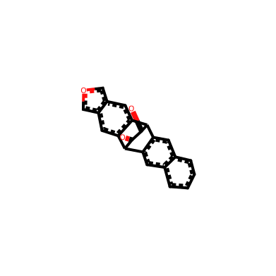 O=C1C(=O)C2c3cc4ccccc4cc3C1c1cc3cocc3cc12